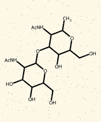 CC(=O)NC1C(OC2C(O)C(CO)OC(C)C2NC(C)=O)OC(CO)C(O)C1O